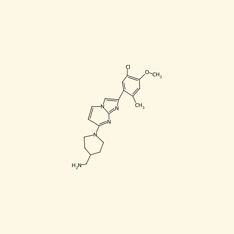 COc1cc(C)c(-c2cn3ccc(N4CCC(CN)CC4)nc3n2)cc1Cl